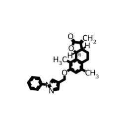 C=C1C(=O)O[C@H]2c3c(C)c(OCc4cnn(-c5ccccc5)c4)cc(C)c3CC[C@@H]12